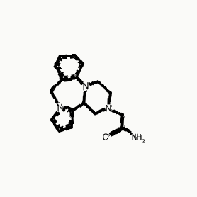 NC(=O)CN1CCN2c3ccccc3Cn3cccc3C2C1